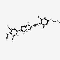 CCCCc1cc(F)c(C#Cc2cc3sc(-c4cc(F)c(C=O)c(F)c4)cc3s2)c(F)c1